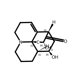 C[C@@H]1C[C@]23C4=CCCN2CCC[C@@H]3[C@H](O)C[C@@H]4C1=O